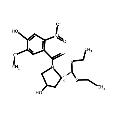 CCSC(SCC)[C@@H]1CC(O)CN1C(=O)c1cc(OC)c(O)cc1[N+](=O)[O-]